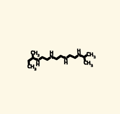 CCC(C)NCCNCCNCCNC(C)C